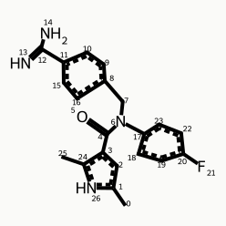 Cc1cc(C(=O)N(Cc2ccc(C(=N)N)cc2)c2ccc(F)cc2)c(C)[nH]1